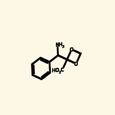 NC(c1ccccc1)C1(C(=O)O)OCO1